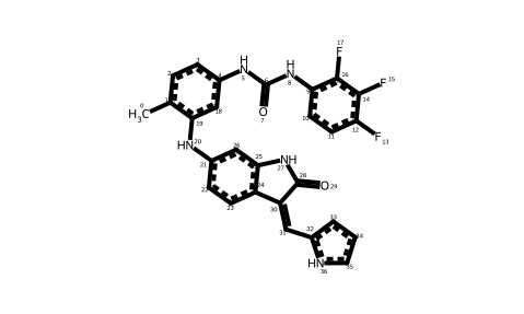 Cc1ccc(NC(=O)Nc2ccc(F)c(F)c2F)cc1Nc1ccc2c(c1)NC(=O)/C2=C\c1ccc[nH]1